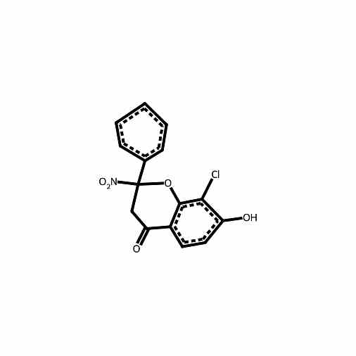 O=C1CC(c2ccccc2)([N+](=O)[O-])Oc2c1ccc(O)c2Cl